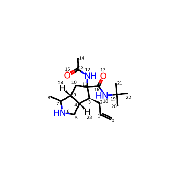 C=CC[C@H]1[C@@H]2CNC(C)[C@@H]2CC1(NC(C)=O)C(=O)NC(C)(C)C